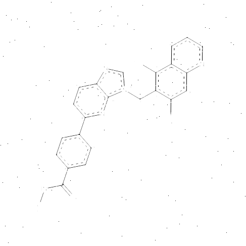 O=C(NCl)c1ccc(-c2ccc3ncn(Cc4c(F)cc5ncccc5c4F)c3n2)cc1